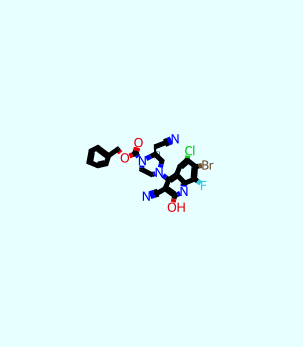 N#CC[C@H]1CN(c2c(C#N)c(O)nc3c(F)c(Br)c(Cl)cc23)CCN1C(=O)OCc1ccccc1